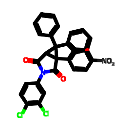 O=C1C2C(c3ccc([N+](=O)[O-])cc3)(C(=O)N1c1ccc(Cl)c(Cl)c1)C2(c1ccccc1)c1ccccc1